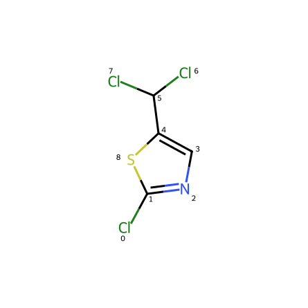 Clc1ncc(C(Cl)Cl)s1